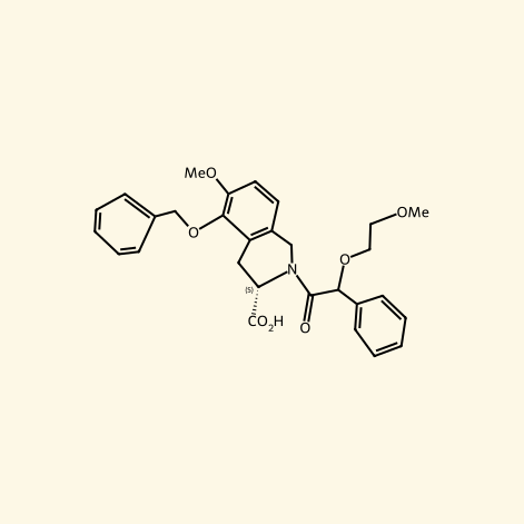 COCCOC(C(=O)N1Cc2ccc(OC)c(OCc3ccccc3)c2C[C@H]1C(=O)O)c1ccccc1